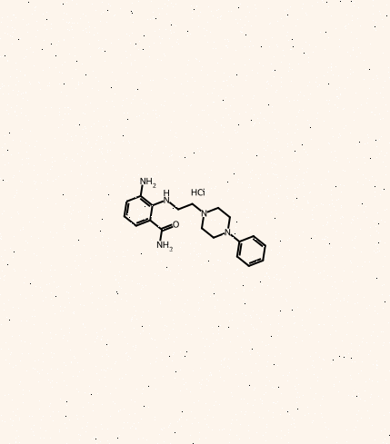 Cl.NC(=O)c1cccc(N)c1NCCN1CCN(c2ccccc2)CC1